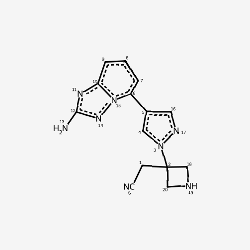 N#CCC1(n2cc(-c3cccc4nc(N)nn34)cn2)CNC1